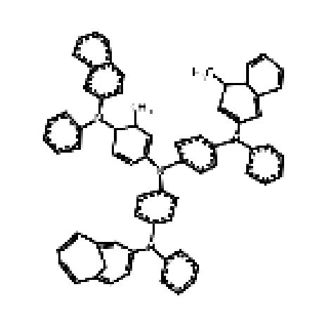 CC1C=C(N(c2ccccc2)c2ccc(N(C3=CC(C)C(N(c4ccccc4)c4ccc5ccccc5c4)C=C3)c3ccc(N(C4=CC=C5C=CC=CC(=C4)C5)c4ccccc4)cc3)cc2)C=C2C=CC=CC21